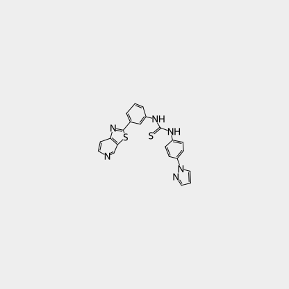 S=C(Nc1ccc(-n2cccn2)cc1)Nc1cccc(-c2nc3ccncc3s2)c1